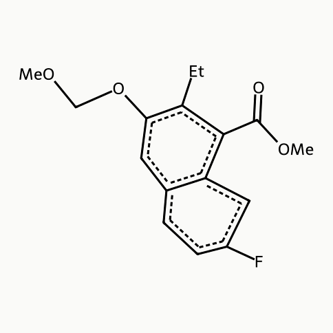 CCc1c(OCOC)cc2ccc(F)cc2c1C(=O)OC